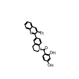 CCc1cc2ccccc2nc1-c1ccc2c(c1)CCCN2C(=O)c1ccc(O)cc1O